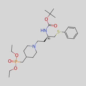 CCOP(=O)(CC1CCN(CC[C@H](CSc2ccccc2)NC(=O)OC(C)(C)C)CC1)OCC